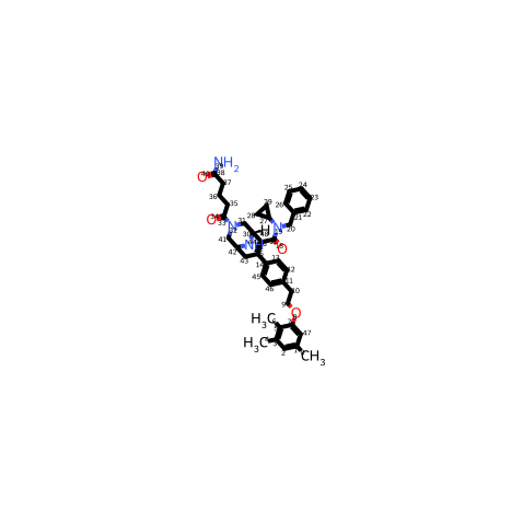 Cc1cc(C)c(C)c(OCCc2ccc(C3=C(C(=O)N(Cc4ccccc4)C4CC4)[C@H]4CN(C(=O)CCCC(N)=O)CC(C3)N4)cc2)c1